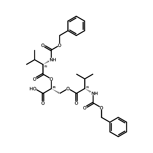 CC(C)[C@H](NC(=O)OCc1ccccc1)C(=O)OC[C@@H](OC(=O)[C@@H](NC(=O)OCc1ccccc1)C(C)C)C(=O)O